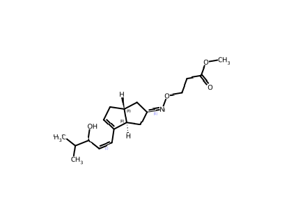 COC(=O)CCO/N=C1\C[C@H]2CC=C(/C=C\C(O)C(C)C)[C@@H]2C1